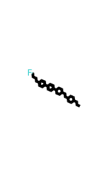 CCCC1CCC(CCC2CCC(c3ccc(-c4ccc(CCCCF)cc4)cc3)CC2)CC1